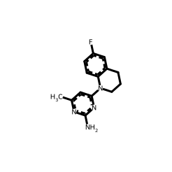 Cc1cc(N2CCCc3cc(F)ccc32)nc(N)n1